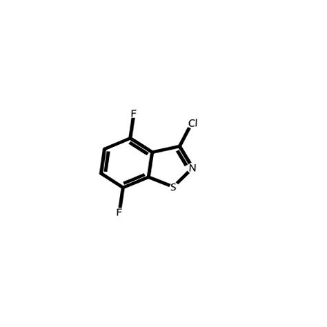 Fc1ccc(F)c2c(Cl)nsc12